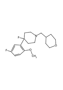 COc1ccc(F)cc1C1(F)CCN(CC2CCOCC2)CC1